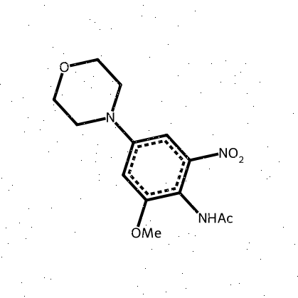 COc1cc(N2CCOCC2)cc([N+](=O)[O-])c1NC(C)=O